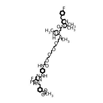 C[C@@H]1CN(CC(=O)N2CC(C)(C)c3ncc(Cc4ccc(F)cc4)cc32)[C@@H](CN(C)CCOCCOCCOCCOCC(=O)Nc2ccc(Nc3ncc(C(F)(F)F)c(NCc4cccc(S(C)(=O)=O)c4)n3)cc2)CN1